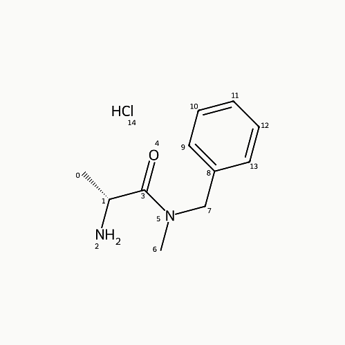 C[C@@H](N)C(=O)N(C)Cc1ccccc1.Cl